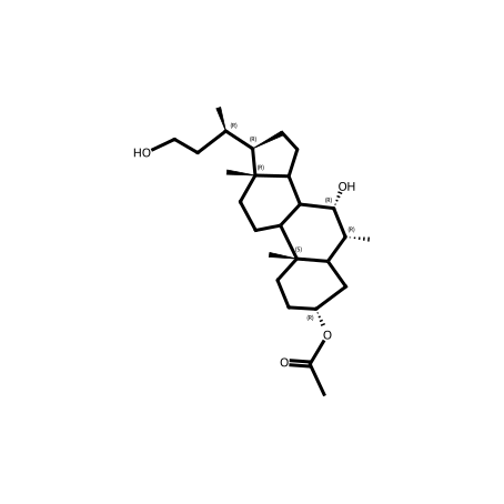 CC(=O)O[C@@H]1CC[C@]2(C)C3CC[C@@]4(C)C(CC[C@@H]4[C@H](C)CCO)C3[C@H](O)[C@H](C)C2C1